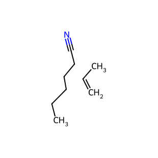 C=CC.CCCCCC#N